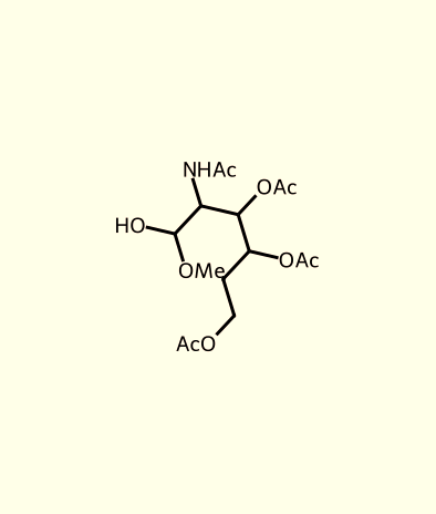 COC(O)C(NC(C)=O)C(OC(C)=O)C(CCOC(C)=O)OC(C)=O